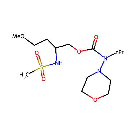 [CH2]CCN(C(=O)OCC(CCOC)NS(C)(=O)=O)N1CCOCC1